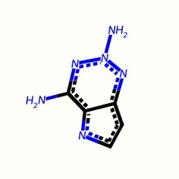 Nc1nn(N)nc2ccnc1-2